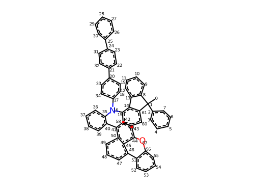 CC1(c2ccccc2)c2ccccc2-c2c(N(c3ccc(-c4ccc(-c5ccccc5)cc4)cc3)c3ccccc3-c3ccc4c5c(cccc35)-c3ccccc3O4)cccc21